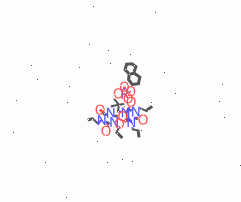 C=CCn1c(=O)n(CC=C)c(=O)n(CC2(Cn3c(=O)n(CC=C)c(=O)n(CC=C)c3=O)COP(=O)(Oc3ccc4ccccc4c3)OC2)c1=O